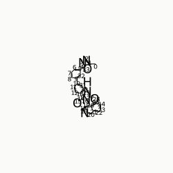 Cc1nnc(-c2cccc(-c3ccc4c(=O)n(-c5cncc6ccccc56)c(=O)[nH]c4c3)c2)o1